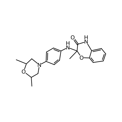 CC1CN(c2ccc(NC3(C)Oc4ccccc4NC3=O)cc2)CC(C)O1